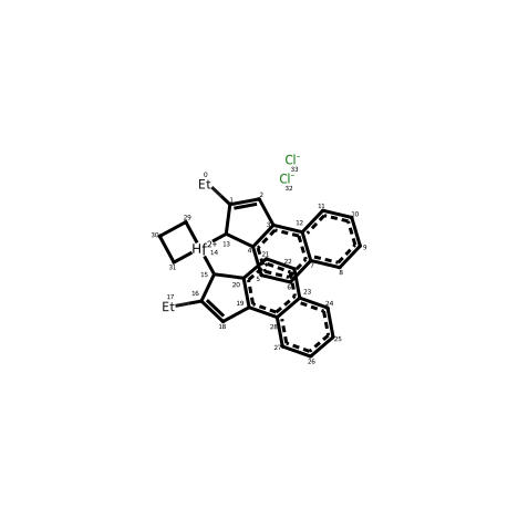 CCC1=Cc2c(ccc3ccccc23)[CH]1[Hf+2]1([CH]2C(CC)=Cc3c2ccc2ccccc32)[CH2]C[CH2]1.[Cl-].[Cl-]